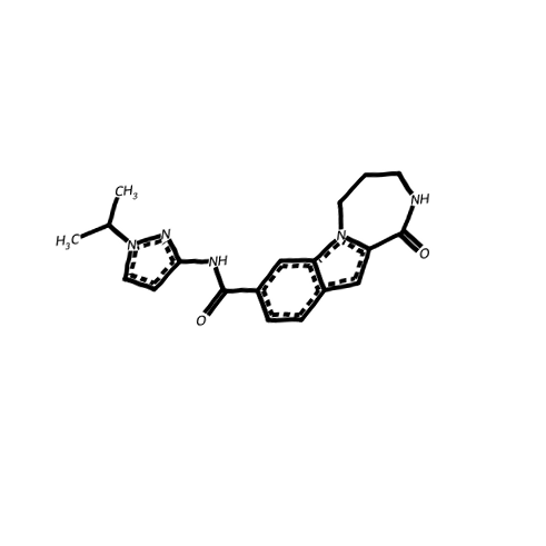 CC(C)n1ccc(NC(=O)c2ccc3cc4n(c3c2)CCCNC4=O)n1